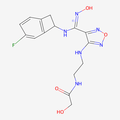 O=C(CO)NCCNc1nonc1/C(=N\O)NC1Cc2ccc(F)cc21